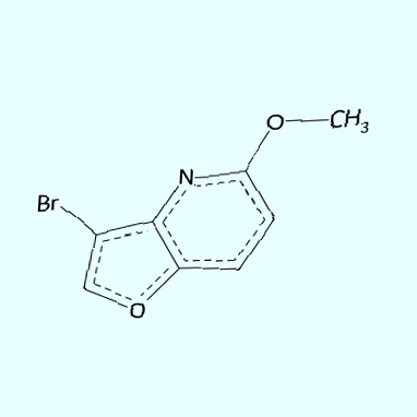 COc1ccc2occ(Br)c2n1